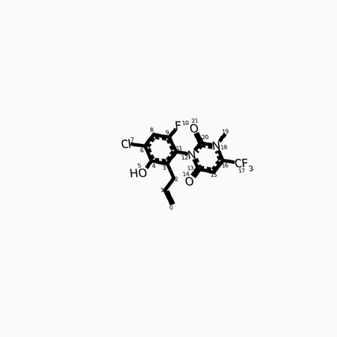 C=CCc1c(O)c(Cl)cc(F)c1-n1c(=O)cc(C(F)(F)F)n(C)c1=O